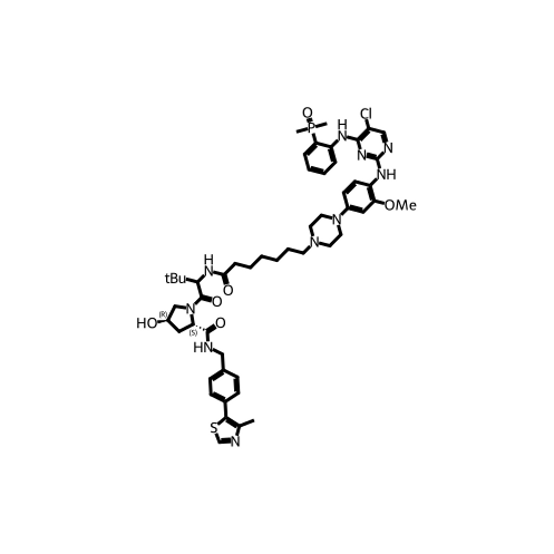 COc1cc(N2CCN(CCCCCCC(=O)NC(C(=O)N3C[C@H](O)C[C@H]3C(=O)NCc3ccc(-c4scnc4C)cc3)C(C)(C)C)CC2)ccc1Nc1ncc(Cl)c(Nc2ccccc2P(C)(C)=O)n1